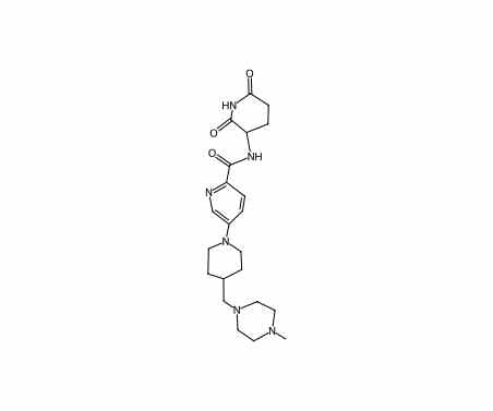 CN1CCN(CC2CCN(c3ccc(C(=O)NC4CCC(=O)NC4=O)nc3)CC2)CC1